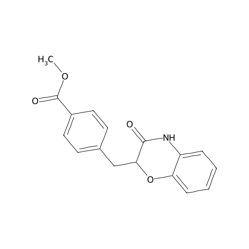 COC(=O)c1ccc(CC2Oc3ccccc3NC2=O)cc1